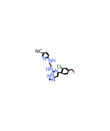 N#Cc1ccc(NCCNc2nc(-c3ccc(CI)cc3Cl)cc3ncnn23)nc1